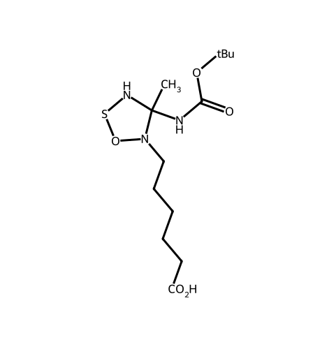 CC(C)(C)OC(=O)NC1(C)NSON1CCCCCC(=O)O